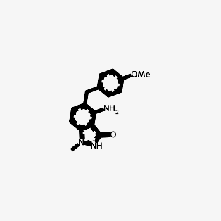 COc1ccc(Cc2ccc3c(c2N)c(=O)[nH]n3C)cc1